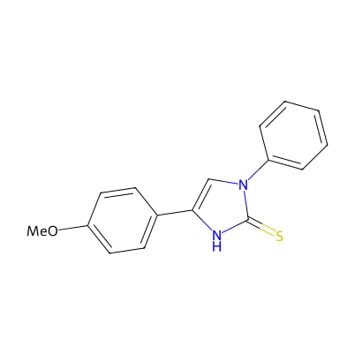 COc1ccc(-c2cn(-c3ccccc3)c(=S)[nH]2)cc1